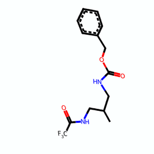 CC(CNC(=O)OCc1ccccc1)CNC(=O)C(F)(F)F